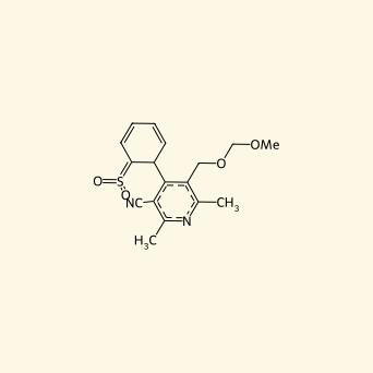 COCOCc1c(C)nc(C)c(C#N)c1C1C=CC=CC1=S(=O)=O